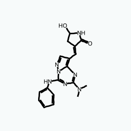 CN(C)c1nc(Nc2ccccc2)n2ncc(/C=C3\CC(O)NC3=O)c2n1